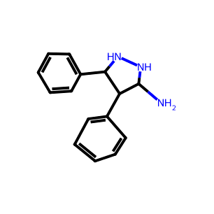 NC1NNC(c2ccccc2)C1c1ccccc1